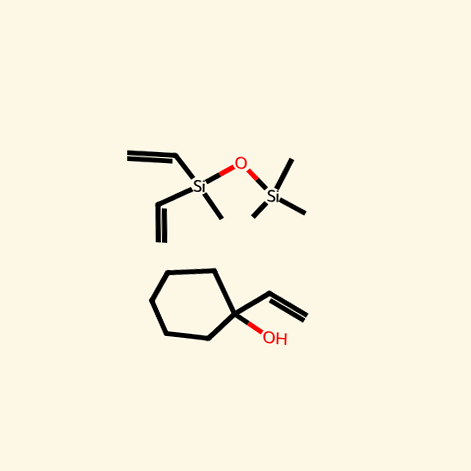 C=CC1(O)CCCCC1.C=C[Si](C)(C=C)O[Si](C)(C)C